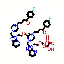 CCOCCn1c(CN2CCN(CCCC(=O)c3ccc(F)cc3)CC2)nc2cccnc21.CCOCCn1c(CN2CCN(CCCC(=O)c3ccc(F)cc3)CC2)nc2cccnc21.O=C(O)C(=O)O